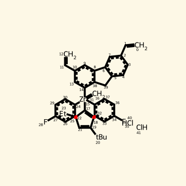 C=Cc1ccc2c(c1)-c1cc(C=C)c[c]([Zr](=[CH2])([C]3=CC(C(C)(C)C)=CC3CC)([c]3ccc(F)cc3)[c]3ccc(F)cc3)c1C2.Cl.Cl